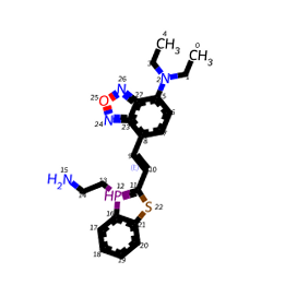 CCN(CC)c1ccc(/C=C/C2=[PH](CCN)c3ccccc3S2)c2nonc12